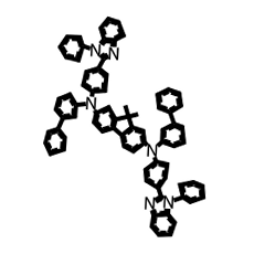 CC1(C)c2cc(N(c3ccc(-c4nc5ccccc5n4-c4ccccc4)cc3)c3cccc(-c4ccccc4)c3)ccc2-c2ccc(N(c3ccc(-c4nc5ccccc5n4-c4ccccc4)cc3)c3cccc(-c4ccccc4)c3)cc21